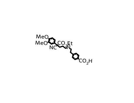 CCOC(=O)[C@](C#N)(CCCN(C)CCc1ccc(C(=O)O)cc1)c1ccc(OC)c(OC)c1